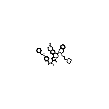 Cc1c(C(=O)N(C)c2ccc(OCc3ccccc3)cc2)cc(-c2cc3c(cc2C(=O)N2Cc4ccccc4C[C@H]2CCCN2CCOCC2)CNCC3)n1C